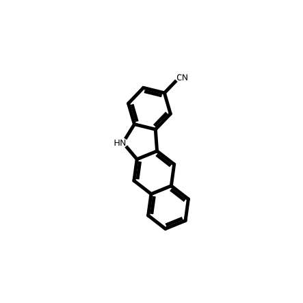 N#Cc1ccc2[nH]c3cc4ccccc4cc3c2c1